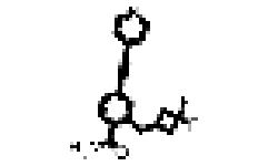 NC(=O)c1ccc(C#Cc2ccncc2)cc1CC1CC(F)(F)C1